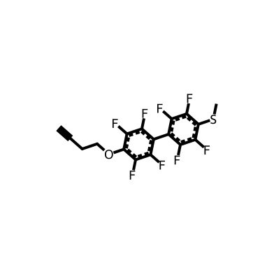 C#CCCOc1c(F)c(F)c(-c2c(F)c(F)c(SC)c(F)c2F)c(F)c1F